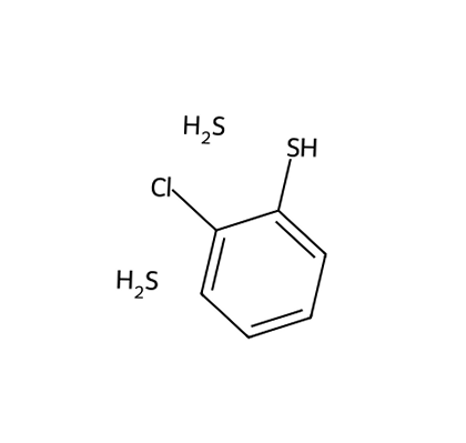 S.S.Sc1ccccc1Cl